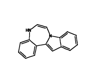 C1=Cn2c(cc3ccccc32)-c2ccccc2N1